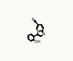 N#Cc1ccc2ncc(-c3ccccc3O)n2c1